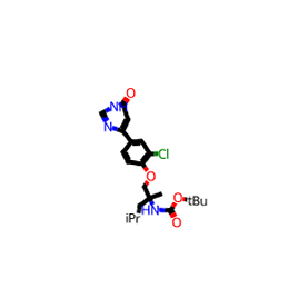 CC(C)CC(C)(COc1ccc(-c2cc(=O)[nH]cn2)cc1Cl)NC(=O)OC(C)(C)C